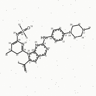 C=C(C)c1cc2cnc(Nc3ccc(N4CCN(C)CC4)cc3)nc2n1C1=NC(N=S(C)(C)=O)=CC(C)C1